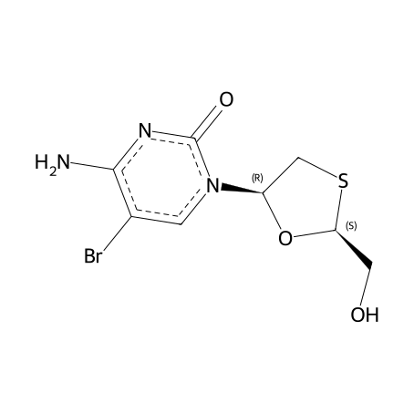 Nc1nc(=O)n([C@H]2CS[C@@H](CO)O2)cc1Br